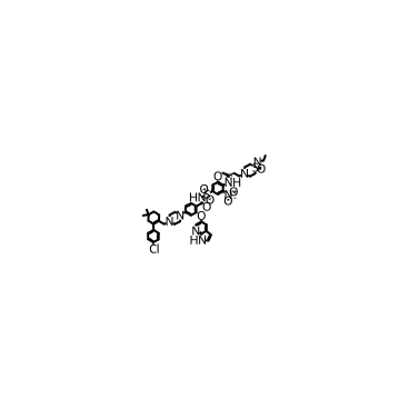 CCN=S1(=O)CCN(CC[C@@H]2COc3cc(S(=O)(=O)NC(=O)c4ccc(N5CCN(CC6=C(c7ccc(Cl)cc7)CC(C)(C)CC6)CC5)cc4Oc4cnc5[nH]ccc5c4)cc([N+](=O)[O-])c3N2)CC1